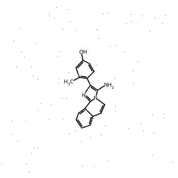 Cc1cc(O)ccc1-c1nc2c3ccccc3ccn2c1N